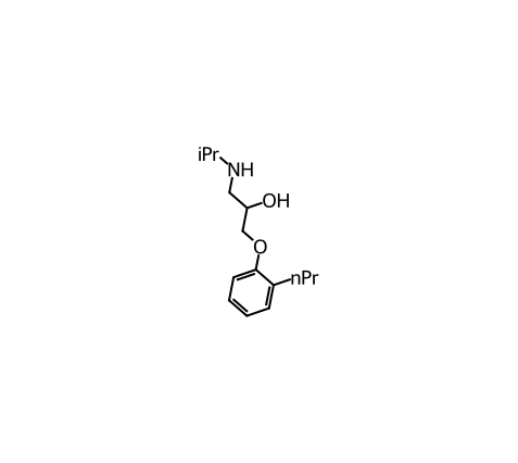 CCCc1ccccc1OCC(O)CNC(C)C